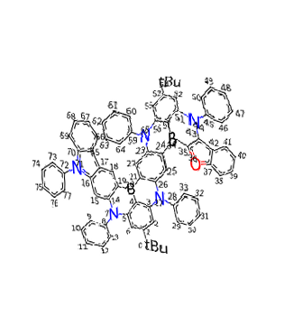 CC(C)(C)c1cc2c3c(c1)N(c1ccccc1)c1cc4c(cc1B3c1cc3c(cc1N2c1ccccc1)B1c2oc5ccccc5c2N(c2ccccc2)c2cc(C(C)(C)C)cc(c21)N3c1ccccc1)c1ccccc1n4-c1ccccc1